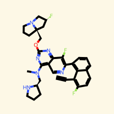 C#Cc1c(F)ccc2cccc(-c3ncc4c(N(C)C[C@H]5CCCN5)nc(OC[C@@]56CCCN5C[C@H](F)C6)nc4c3F)c12